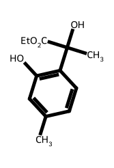 CCOC(=O)C(C)(O)c1ccc(C)cc1O